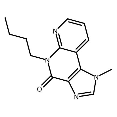 CCCCn1c(=O)c2ncn(C)c2c2cccnc21